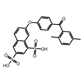 Cc1ccc(C)c(C(=O)c2ccc(Oc3ccc4cc(S(=O)(=O)O)cc(S(=O)(=O)O)c4c3)cc2)c1